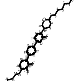 CCCCCCCC1CCC(c2ccc(-c3ccc(-c4ccc(CCCC)c(F)c4F)cc3)cc2F)CO1